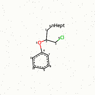 CCCCCCCCC(CCl)Oc1ccccc1